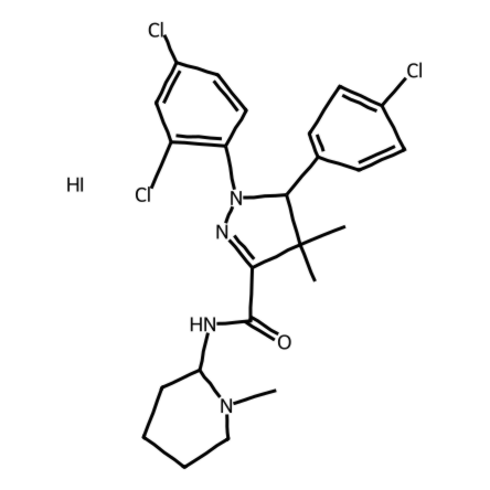 CN1CCCCC1NC(=O)C1=NN(c2ccc(Cl)cc2Cl)C(c2ccc(Cl)cc2)C1(C)C.I